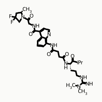 CC(C)C(=O)[C@H](CCCNC(=N)N(C)C)NC(=O)CCC(=O)Nc1cccc2c(C(=O)NCC(=O)N3CC(F)(F)C[C@H]3C)ccnc12